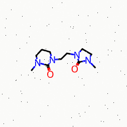 CN1CCCN(CCN2CCN(C)C2=O)C1=O